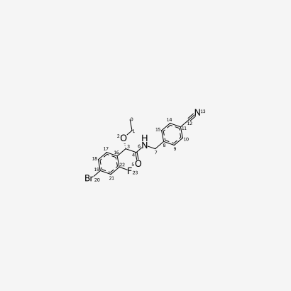 CCO[C@H](C(=O)NCc1ccc(C#N)cc1)c1ccc(Br)cc1F